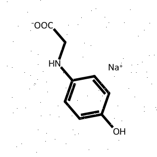 O=C([O-])CNc1ccc(O)cc1.[Na+]